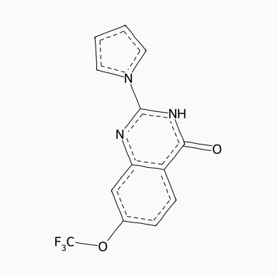 O=c1[nH]c(-n2cccc2)nc2cc(OC(F)(F)F)ccc12